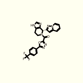 O=C(c1nnc(-c2ccc(C(F)(F)F)cc2)o1)N1CCc2[nH]cnc2[C@@H]1c1cc2ccccn2n1